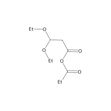 CCOC(CC(=O)OC(=O)CC)OCC